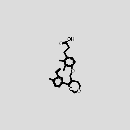 C=Cc1cc(C2=C(COc3ccc(CCC(=O)O)c(C)c3C)CCOCC2)ccc1C